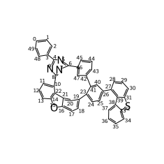 c1ccc(-c2nc3nc(n2)c2cccc4oc5ccc(cc5c42)c2ccc(-c4cccc5sc6ccccc6c45)cc2c2cccc3c2)cc1